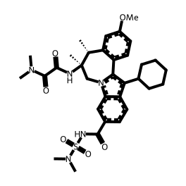 COc1ccc2c(c1)[C@@H](C)[C@](C)(NC(=O)C(=O)N(C)C)Cn1c-2c(C2CCCCC2)c2ccc(C(=O)NS(=O)(=O)N(C)C)cc21